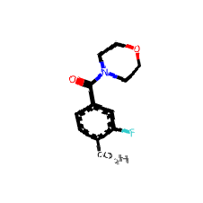 O=C(O)c1ccc(C(=O)N2CCOCC2)cc1F